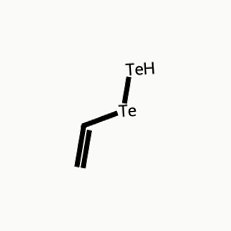 C=C[Te][TeH]